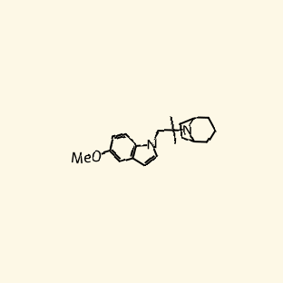 COc1ccc2c(ccn2CC(C)(C)N2C3CCCC2CC3)c1